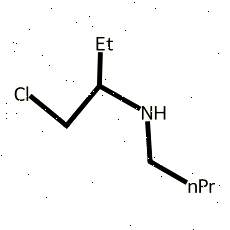 CCCCNC(CC)CCl